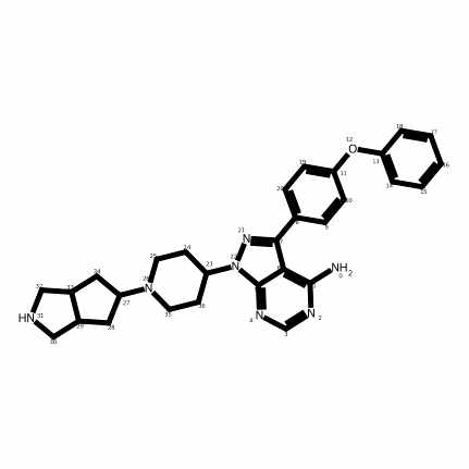 Nc1ncnc2c1c(-c1ccc(Oc3ccccc3)cc1)nn2C1CCN(C2CC3CNCC3C2)CC1